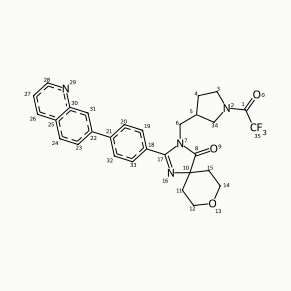 O=C(N1CCC(CN2C(=O)C3(CCOCC3)N=C2c2ccc(-c3ccc4cccnc4c3)cc2)C1)C(F)(F)F